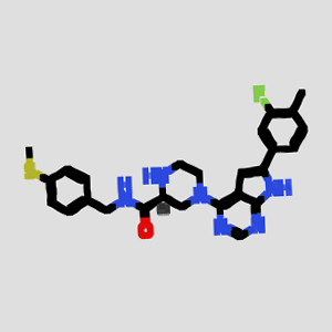 CSc1ccc(CNC(=O)[C@@H]2CN(c3ncnc4[nH]c(-c5ccc(C)c(F)c5)cc34)CCN2)cc1